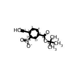 C#Cc1ccc(C(=O)OC(C)(C)C)cc1[N+](=O)[O-]